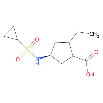 CCC1C[C@H](NS(=O)(=O)C2CC2)CC1C(=O)O